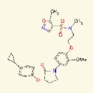 COc1cc(N2CC[C@H](Oc3ccc(C4CC4)cc3)C2=O)ccc1OCCN(C)S(=O)(=O)c1cnoc1C